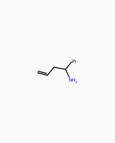 C=CCC(N)[C](C)C